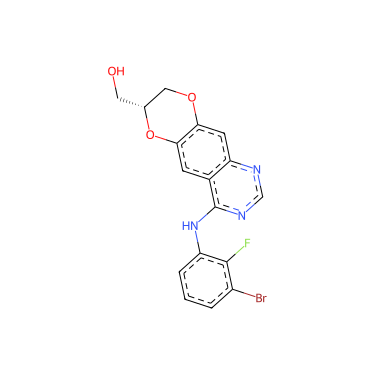 OC[C@@H]1COc2cc3ncnc(Nc4cccc(Br)c4F)c3cc2O1